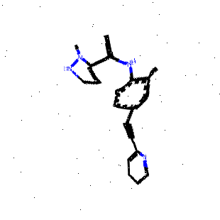 C=C(Nc1ccc(C#CC2=CCCC=N2)cc1C)C1=CCNN1C